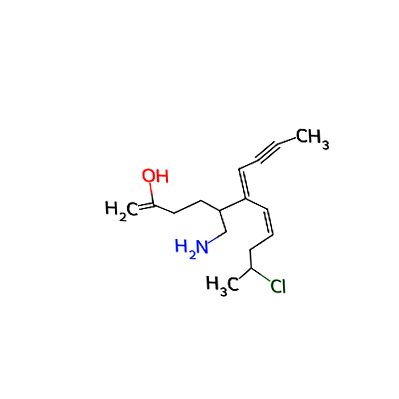 C=C(O)CCC(CN)C(/C=C\CC(C)Cl)=C/C#CC